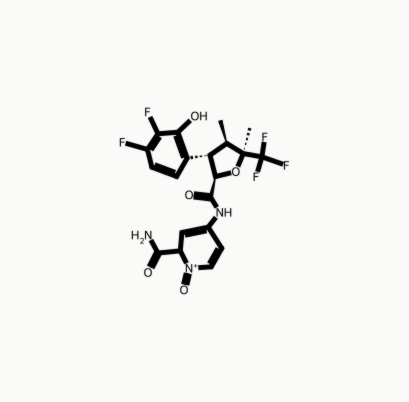 C[C@@H]1[C@@H](c2ccc(F)c(F)c2O)[C@H](C(=O)NC2=CC(C(N)=O)[N+](=O)C=C2)O[C@]1(C)C(F)(F)F